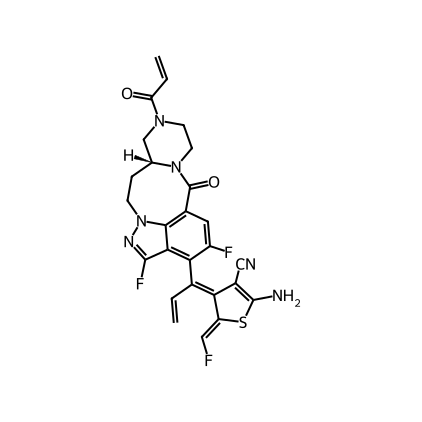 C=CC(=O)N1CCN2C(=O)c3cc(F)c(/C(C=C)=c4\c(C#N)c(N)s\c4=C/F)c4c(F)nn(c34)CC[C@@H]2C1